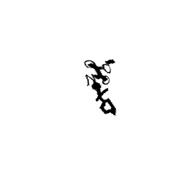 CCOC(=O)c1ncc(C(C)(C)C2=CCCC=C2)o1